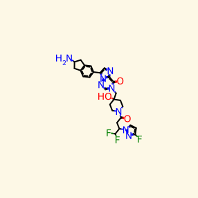 NC1Cc2ccc(-c3cnc4c(=O)n(CC5(O)CCN(C(=O)CC(C(F)F)n6ccc(F)n6)CC5)cnn34)cc2C1